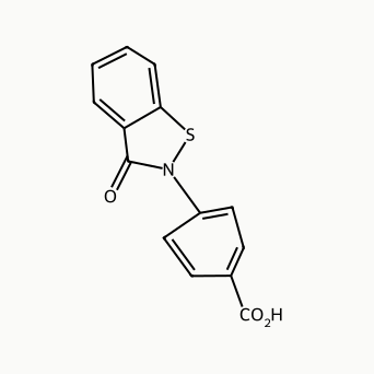 O=C(O)c1ccc(-n2sc3ccccc3c2=O)cc1